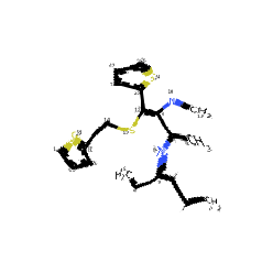 C=CC/C(C=C)=N\C(C)/C(N=C)=C(\SCc1cccs1)c1cccs1